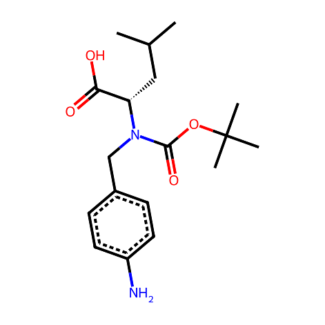 CC(C)C[C@@H](C(=O)O)N(Cc1ccc(N)cc1)C(=O)OC(C)(C)C